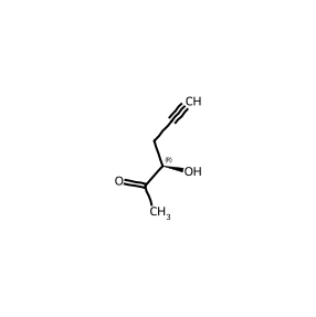 C#CC[C@@H](O)C(C)=O